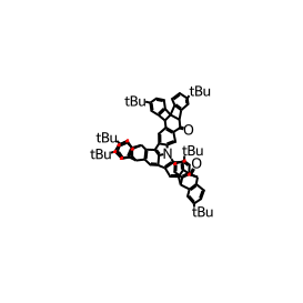 CC(C)(C)c1ccc2c(c1)C1C(=O)c3cc4c(cc3C2c2cc(C(C)(C)C)ccc21)c1cc2c(c3c5cc6c(cc5n4c13)C(=O)C1c3cc(C(C)(C)C)ccc3C13c1ccc(C(C)(C)C)cc1C63)C1c3ccc(C(C)(C)C)cc3C2c2ccc(C(C)(C)C)cc21